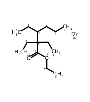 CCCC(CC)C(CC)(CC)C(=O)OCC.[2Zr]